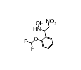 O=[N+]([O-])CC(NO)c1ccccc1OC(F)F